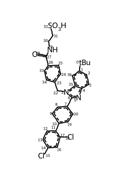 CC(C)(C)c1ccc2nc(-c3ccc(-c4ccc(Cl)cc4Cl)cc3)n(Cc3ccc(C(=O)NCCS(=O)(=O)O)cc3)c2c1